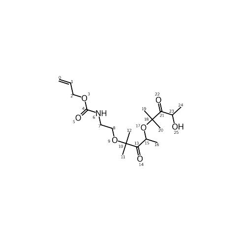 C=CCOC(=O)NCCOC(C)(C)C(=O)C(C)OC(C)(C)C(=O)C(C)O